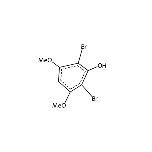 COc1cc(OC)c(Br)c(O)c1Br